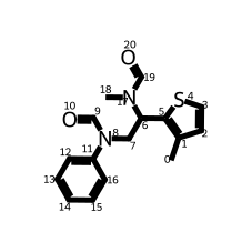 Cc1ccsc1C(CN(C=O)c1ccccc1)N(C)C=O